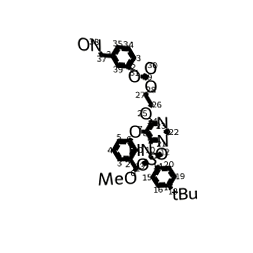 COCc1cccc(Oc2c(NS(=O)(=O)c3ccc(C(C)(C)C)cc3)ncnc2OCCOC(=O)Oc2cccc(CN=O)c2)c1